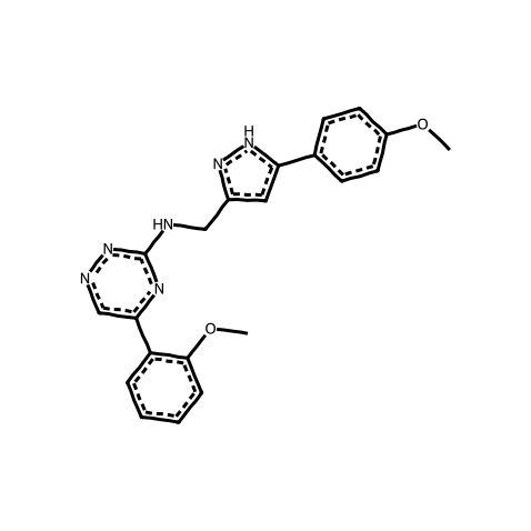 COc1ccc(-c2cc(CNc3nncc(-c4ccccc4OC)n3)n[nH]2)cc1